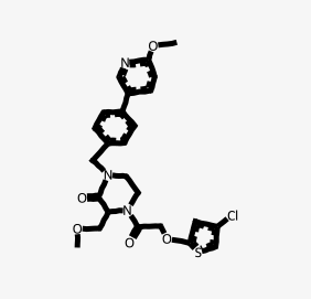 COCC1C(=O)N(Cc2ccc(-c3ccc(OC)nc3)cc2)CCN1C(=O)COc1cc(Cl)cs1